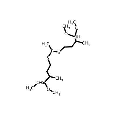 CO[SiH](OC)C(C)CCSP(C)SCCC(C)[SiH](OC)OC